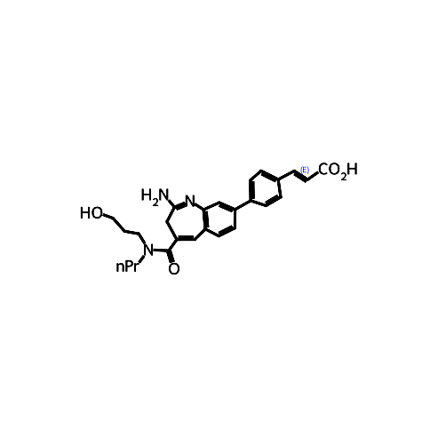 CCCN(CCCO)C(=O)C1=Cc2ccc(-c3ccc(/C=C/C(=O)O)cc3)cc2N=C(N)C1